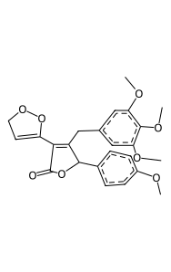 COc1ccc(C2OC(=O)C(C3=CCOO3)=C2Cc2cc(OC)c(OC)c(OC)c2)cc1